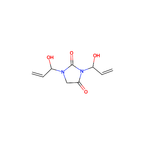 C=CC(O)N1CC(=O)N(C(O)C=C)C1=O